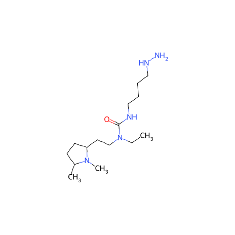 CCN(CCC1CCC(C)N1C)C(=O)NCCCCNN